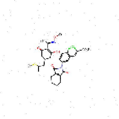 CCC/C(=N\OCC)C1=C(O)CC(CC(C)SCC)CC1=O.CCOC(=O)/C(Cl)=C/c1cc(N2C(=O)C3=C(CCCC3)C2=O)ccc1Cl